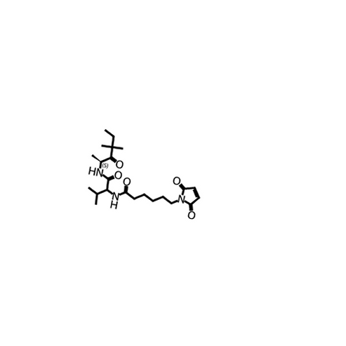 CCC(C)(C)C(=O)[C@H](C)NC(=O)C(NC(=O)CCCCCN1C(=O)C=CC1=O)C(C)C